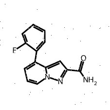 NC(=O)c1cc2c(-c3ccccc3F)cccn2n1